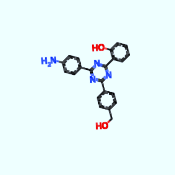 Nc1ccc(-c2nc(-c3ccc(CO)cc3)nc(-c3ccccc3O)n2)cc1